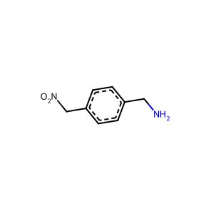 NCc1ccc(C[N+](=O)[O-])cc1